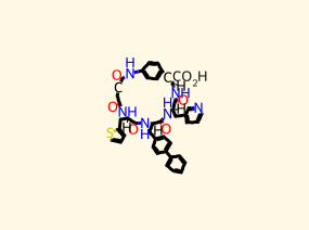 O=C1CCC(=O)N[C@H](Cc2cccs2)C(=O)N[C@@H](Cc2ccc(-c3ccccc3)cc2)C(=O)N[C@H](Cc2cccnc2)C(=O)N[C@H](C(=O)O)Cc2ccc(cc2)N1